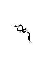 CC(C)C#CCN1CC2(CCN(C)CC2)C1